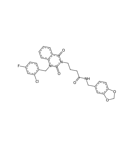 O=C(CCCn1c(=O)c2ccccc2n(Cc2ccc(F)cc2Cl)c1=O)NCc1ccc2c(c1)OCO2